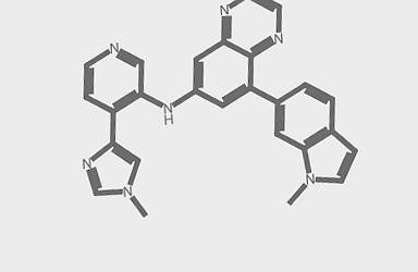 Cn1cnc(-c2ccncc2Nc2cc(-c3ccc4ccn(C)c4c3)c3nccnc3c2)c1